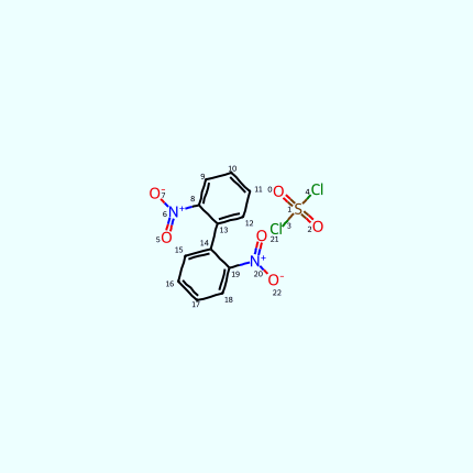 O=S(=O)(Cl)Cl.O=[N+]([O-])c1ccccc1-c1ccccc1[N+](=O)[O-]